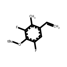 C=Cc1cc(F)c(OC(C)(C)C)c(F)c1C